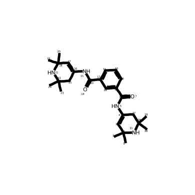 CC1(C)C=C(NC(=O)c2cccc(C(=O)NC3=CC(C)(C)NC(C)(C)C3)c2)CC(C)(C)N1